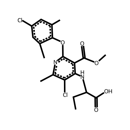 CCC(Nc1c(Cl)c(C)nc(Oc2c(C)cc(Cl)cc2C)c1C(=O)OC)C(=O)O